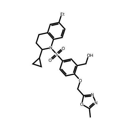 CCc1ccc2c(c1)CCC(C1CC1)N2S(=O)(=O)c1ccc(OCc2nnc(C)o2)c(CO)c1